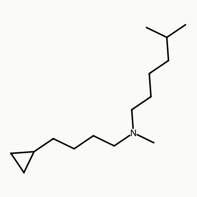 CC(C)CCCCN(C)CCCCC1CC1